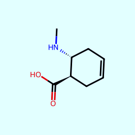 CN[C@@H]1CC=CC[C@H]1C(=O)O